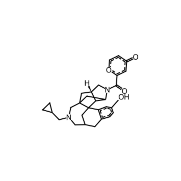 O=C(c1cc(=O)cco1)N1C[C@H]2CC34CC1C2C31CC(Cc2ccc(O)cc21)CN(CC1CC1)C4